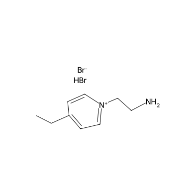 Br.CCc1cc[n+](CCN)cc1.[Br-]